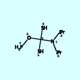 CC(C)N(C(C)C)C(S)(S)OP